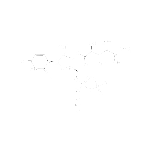 O=C[C@H](O)[C@@H](O)[C@H](O)[C@H](O)C(=O)O[C@H]1[C@@H](O)[C@H](n2ccc(=O)[nH]c2=O)O[C@@H]1COP(=O)([O-])OP(=O)([O-])[O-].[K+].[K+].[K+]